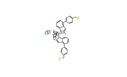 CC1=Cc2c(-c3ccc(CF)cc3)cccc2[CH]1[Zr+2]([CH]1C(C)=Cc2c(-c3ccc(CF)cc3)cccc21)[SiH](C)C.[Cl-].[Cl-]